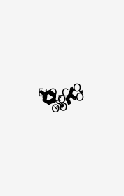 CCOC(=O)C1(C(C)OS(=O)(=O)c2ccc(C)cc2)COCOC1